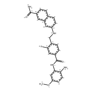 COc1cc(NC(=O)c2ccc(CNc3ccc4ccc(C(N)=O)cc4n3)c(F)c2)c(N)cn1